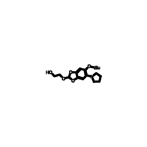 CC(C)(C)Oc1cc2c(cc1N1CCCC1)OC(OCCO)O2